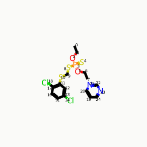 CCOP(=S)(OCC)SCSc1cc(Cl)ccc1Cl.c1cncnc1